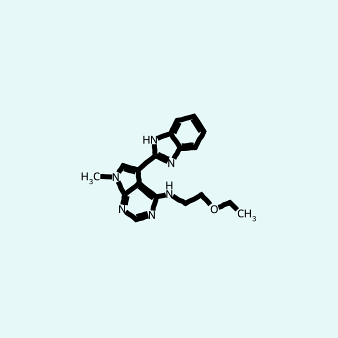 CCOCCNc1ncnc2c1c(-c1nc3ccccc3[nH]1)cn2C